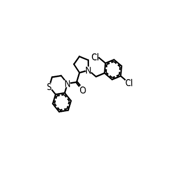 O=C(C1CCCN1Cc1cc(Cl)ccc1Cl)N1CCSc2ccccc21